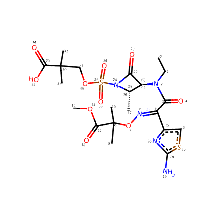 CCN(C(=O)/C(=N/OC(C)(C)C(=O)OC)c1csc(N)n1)[C@@H]1C(=O)N(S(=O)(=O)OCC(C)(C)C(=O)O)[C@H]1C